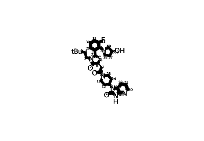 CC(C)(C)CCN1C(=O)[C@H](CC(=O)N2CCC(n3c(=O)[nH]c4ncccc43)CC2)SC1c1cccc(F)c1N1CC[C@H](O)C1